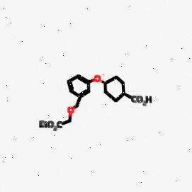 CCOC(=O)COCc1cccc(O[C@H]2CC[C@H](C(=O)O)CC2)c1